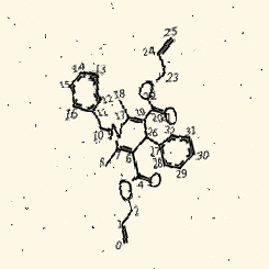 C=CCOC(=O)C1=C(C)N(Cc2ccccc2)C(C)=C(C(=O)OCC=C)C1c1ccccc1